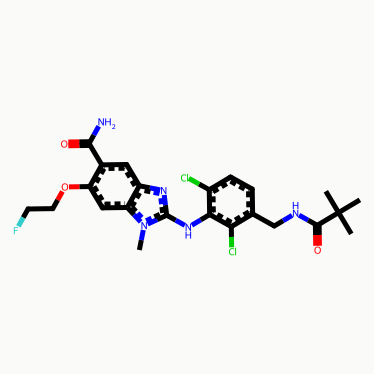 Cn1c(Nc2c(Cl)ccc(CNC(=O)C(C)(C)C)c2Cl)nc2cc(C(N)=O)c(OCCF)cc21